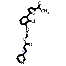 CC(=O)c1ccc(-c2cccc(OCCNC(=O)/C=C/c3cccnc3)c2Cl)s1